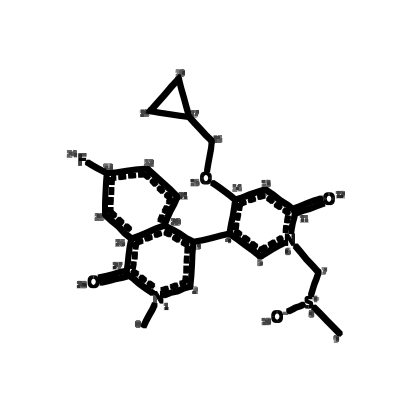 Cn1cc(-c2cn(C[S+](C)[O-])c(=O)cc2OCC2CC2)c2ccc(F)cc2c1=O